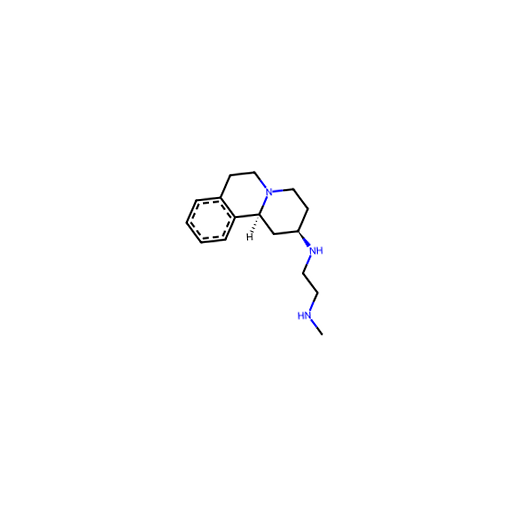 CNCCN[C@@H]1CCN2CCc3ccccc3[C@@H]2C1